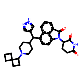 O=C1CCC(N2C(=O)c3cccc4c(C(c5cn[nH]c5)C5CCN(C6CCC67CCC7)CC5)ccc2c34)C(=O)N1